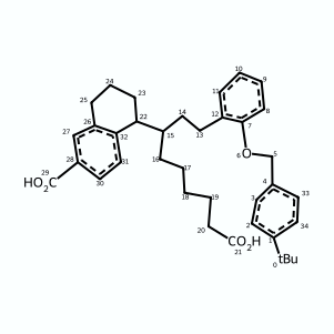 CC(C)(C)c1ccc(COc2ccccc2CCC(CCCCCC(=O)O)C2CCCc3cc(C(=O)O)ccc32)cc1